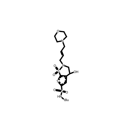 CC(C)(C)NS(=O)(=O)c1cc2c(s1)S(=O)(=O)N(CC=CCN1CCOCC1)CC2O